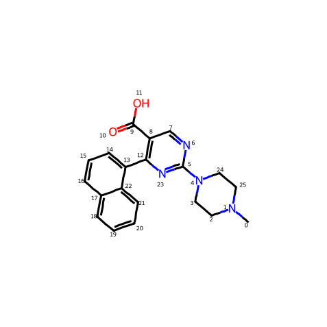 CN1CCN(c2ncc(C(=O)O)c(-c3cccc4ccccc34)n2)CC1